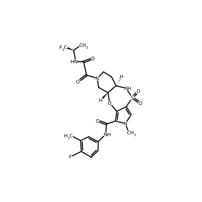 Cc1cc(NC(=O)c2c3c(cn2C)S(=O)(=O)N[C@@H]2CCN(C(=O)C(=O)N[C@H](C)C(F)(F)F)C[C@H]2O3)ccc1F